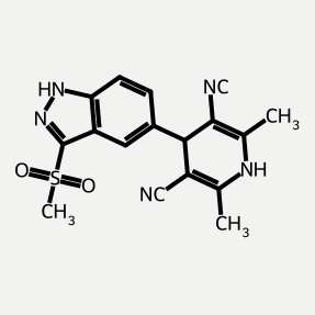 [C-]#[N+]C1=C(C)NC(C)=C(C#N)C1c1ccc2[nH]nc(S(C)(=O)=O)c2c1